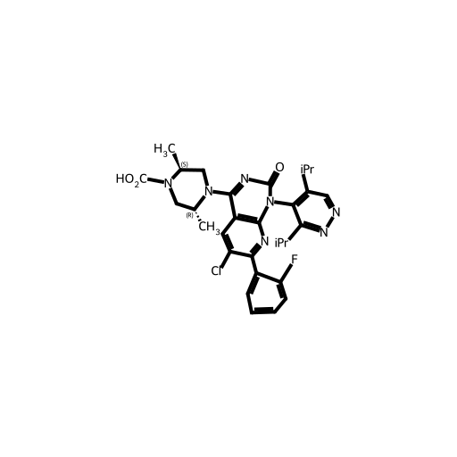 CC(C)c1cnnc(C(C)C)c1-n1c(=O)nc(N2C[C@H](C)N(C(=O)O)C[C@H]2C)c2cc(Cl)c(-c3ccccc3F)nc21